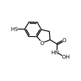 O=C(NO)C1Cc2ccc(S)cc2O1